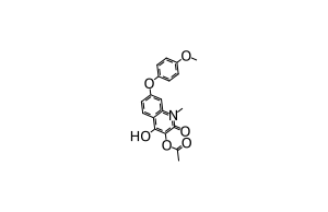 COc1ccc(Oc2ccc3c(O)c(OC(C)=O)c(=O)n(C)c3c2)cc1